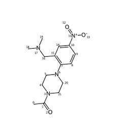 CC(=O)N1CCN(c2ccc([N+](=O)[O-])cc2CN(C)C)CC1